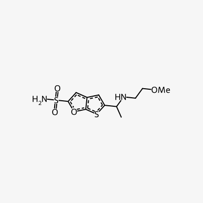 COCCNC(C)c1cc2cc(S(N)(=O)=O)oc2s1